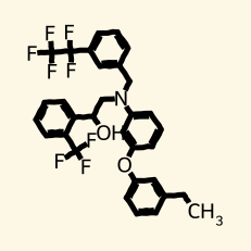 CCc1cccc(Oc2cccc(N(Cc3cccc(C(F)(F)C(F)(F)F)c3)CC(O)c3ccccc3C(F)(F)F)c2)c1